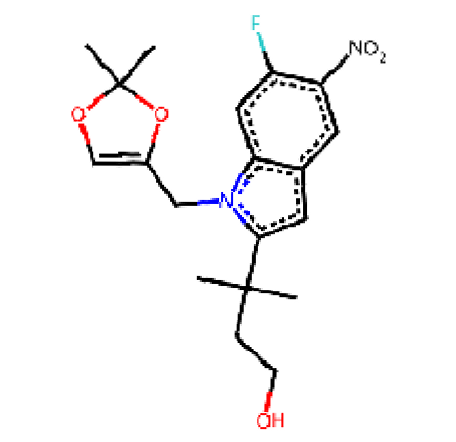 CC1(C)OC=C(Cn2c(C(C)(C)CCO)cc3cc([N+](=O)[O-])c(F)cc32)O1